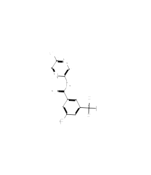 O=C(Nc1cnc(Br)cn1)c1cc(F)cc(C(F)(F)F)c1